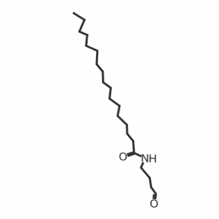 CCCCCCCCCCCCCCCCC(=O)NCCCC=O